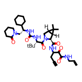 C#CCC(NC(=O)[C@@H]1[C@@H]2[C@H](CN1C(=O)[C@@H](NC(=O)N[C@H](CN1CCCCC1=O)C1CCCCC1)C(C)(C)C)C2(C)C)C(=O)C(=O)NCC=C